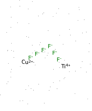 [Cu+2].[F-].[F-].[F-].[F-].[F-].[F-].[Ti+4]